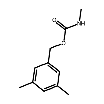 CNC(=O)OCc1cc(C)cc(C)c1